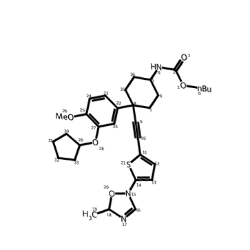 CCCCOC(=O)NC1CCC(C#Cc2ccc(N3C=NC(C)O3)s2)(c2ccc(OC)c(OC3CCCC3)c2)CC1